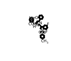 COc1ccccc1-c1cc(NC2C3CCC(CC3)C2C(=O)O)nc(-c2cn(S(=O)(=O)c3ccc(C)cc3)c3c(F)cc(F)cc23)n1